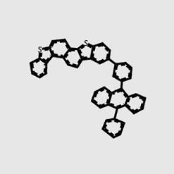 c1ccc(-c2c3ccccc3c(-c3cccc(-c4ccc5sc6c(ccc7c6ccc6sc8ccccc8c67)c5c4)c3)c3ccccc23)cc1